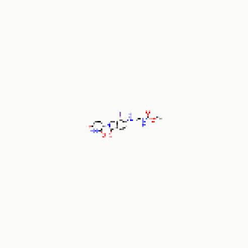 CCOC(=O)NCCNc1ccc2c(c1I)CN(C1CCC(=O)NC1=O)C2=O